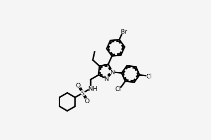 CCc1c(CNS(=O)(=O)C2CCCCC2)nn(-c2ccc(Cl)cc2Cl)c1-c1ccc(Br)cc1